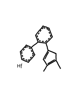 CC1=C(C)CC(c2ccccc2-c2ccccc2)=C1.[Hf]